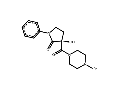 CC(C)N1CCN(C(=O)[C@@]2(O)CCN(c3ccccc3)C2=O)CC1